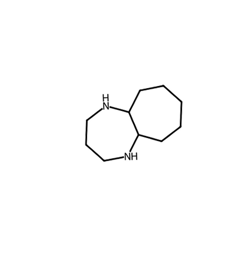 C1CCC2NCCCNC2CC1